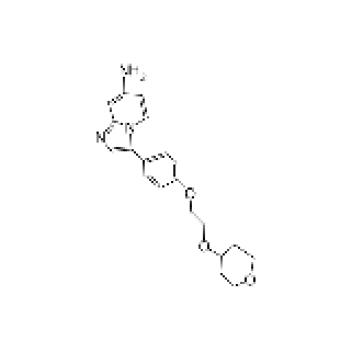 Nc1ccn2c(-c3ccc(OCCOC4CCOCC4)cc3)cnc2c1